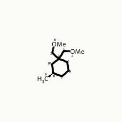 COCC1(COC)CCC[C@@H](C)C1